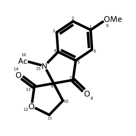 COc1ccc2c(c1)C(=O)C1(CCOC1=O)N2C(C)=O